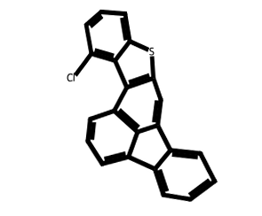 Clc1cccc2sc3cc4c5c(cccc5c3c12)-c1ccccc1-4